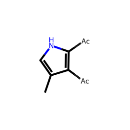 CC(=O)c1[nH]cc(C)c1C(C)=O